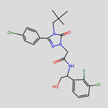 CC(C)(C)Cn1c(-c2ccc(Cl)cc2)nn(CC(=O)NC(CO)c2cccc(Cl)c2F)c1=O